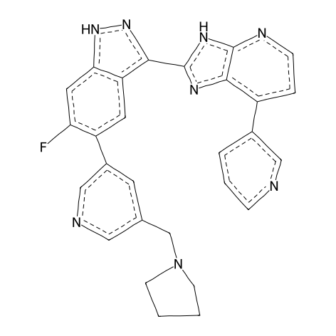 Fc1cc2[nH]nc(-c3nc4c(-c5cccnc5)ccnc4[nH]3)c2cc1-c1cncc(CN2CCCC2)c1